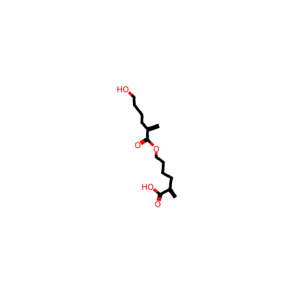 C=C(CCCCOC(=O)C(=C)CCCCO)C(=O)O